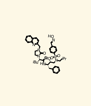 CC[C@H](C)[C@@H](C(=O)N[C@@H](Cc1ccccc1)[C@H](O)CN(CC(C)C)S(=O)(=O)c1ccc(/C=N/O)cc1)N1CCN(Cc2ccc3ccccc3n2)C1=O